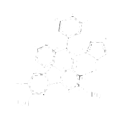 Cc1cc2c(cc1C(C)(C)C)-c1cc(C(C)(C)C)c(C)[c]([Zr]([C]3=CC=CC3)=[C](c3ccccc3)c3ccccc3)c1C2